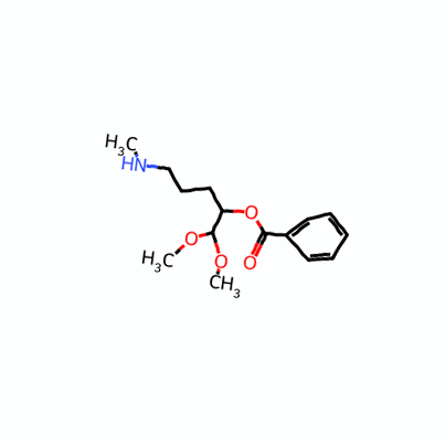 CNCCCC(OC(=O)c1ccccc1)C(OC)OC